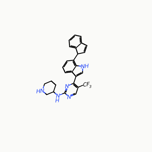 FC(F)(F)c1cnc(NC2CCCNC2)nc1-c1c[nH]c2c(C3C=Cc4ccccc43)cccc12